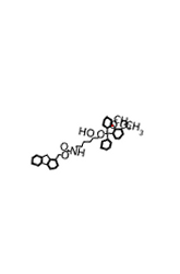 COc1cccc(C(OCC(O)CCCCNC(=O)OCc2cccc3c2Cc2ccccc2-3)(c2ccccc2)c2ccccc2)c1OC